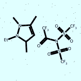 CCN1C(C)C=C(C)N1C.O=C(N(S(=O)(=O)C(F)(F)F)S(=O)(=O)C(F)(F)F)C(F)(F)F